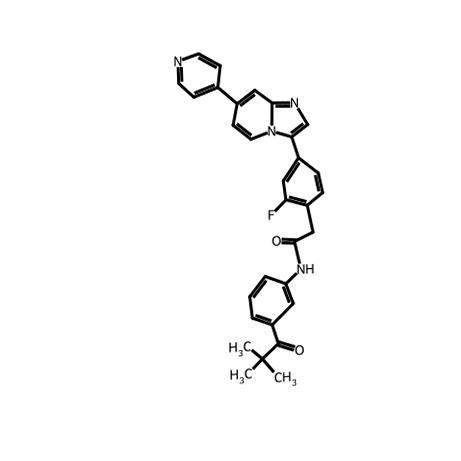 CC(C)(C)C(=O)c1cccc(NC(=O)Cc2ccc(-c3cnc4cc(-c5ccncc5)ccn34)cc2F)c1